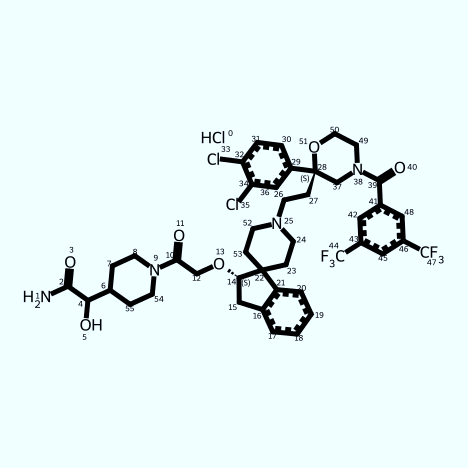 Cl.NC(=O)C(O)C1CCN(C(=O)CO[C@H]2Cc3ccccc3C23CCN(CC[C@]2(c4ccc(Cl)c(Cl)c4)CN(C(=O)c4cc(C(F)(F)F)cc(C(F)(F)F)c4)CCO2)CC3)CC1